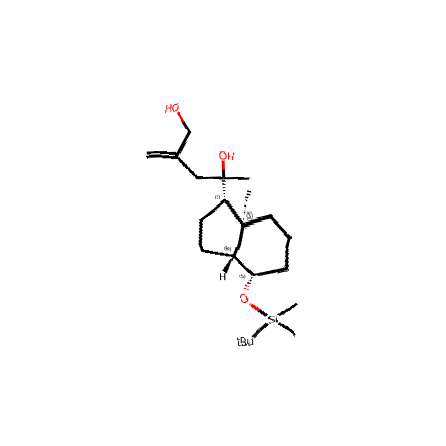 C=C(CO)CC(C)(O)[C@H]1CC[C@H]2[C@@H](O[Si](C)(C)C(C)(C)C)CCC[C@]12C